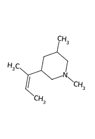 C/C=C(/C)C1CC(C)CN(C)C1